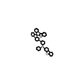 c1ccc(N(c2cccc(-c3ccc4c(c3)C3(c5ccccc5-4)c4ccccc4-c4c3sc3ccccc43)c2)c2ccc3c(c2)oc2ccccc23)cc1